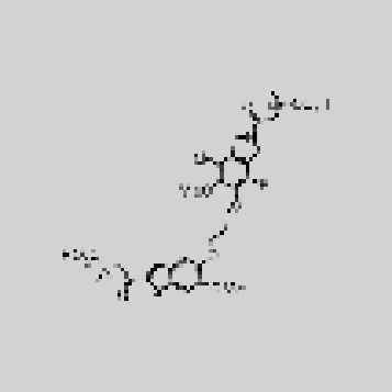 COc1cc2sc(C(=O)C[C@H](C)C(=O)O)cc2cc1OCCCOc1c(F)c2c(c(Cl)c1OC)CN(C(=O)C[C@H](C)C(=O)O)C2